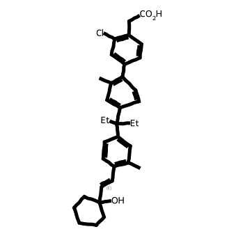 CCC(CC)(c1ccc(/C=C/C2(O)CCCCC2)c(C)c1)c1ccc(-c2ccc(CC(=O)O)c(Cl)c2)c(C)c1